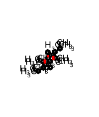 C[Si](C)(C)c1cccc(-c2ccc(N(C3=C4C=CC5=C6C(=CC=C(C=C3)C46)C(N(c3ccccc3F)c3ccc(-c4cccc([Si](C)(C)C)c4)cc3-c3cccc([Si](C)(C)C)c3)C=C5)c3ccccc3F)c(-c3cccc([Si](C)(C)C)c3)c2)c1